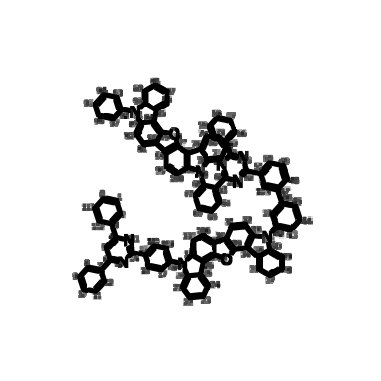 c1ccc(-c2cc(-c3ccccc3)nc(-c3ccc(-n4c5ccccc5c5c6oc7c(ccc8c7c7ccccc7n8-c7cccc(-c8cccc(-c9nc(-c%10ccccc%10)nc(-c%10ccccc%10-n%10c%11ccccc%11c%11c%12oc%13c(ccc%14c%13c%13ccccc%13n%14-c%13ccccc%13)c%12ccc%11%10)n9)c8)c7)c6ccc54)cc3)n2)cc1